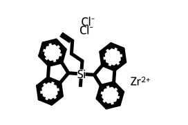 C=CCC[Si](C)(C1c2ccccc2-c2ccccc21)C1c2ccccc2-c2ccccc21.[Cl-].[Cl-].[Zr+2]